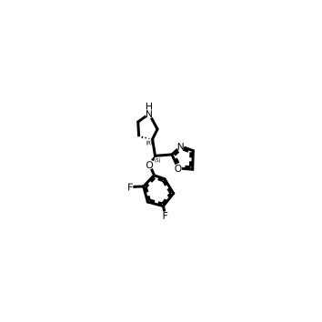 Fc1ccc(O[C@H](c2ncco2)[C@@H]2CCNC2)c(F)c1